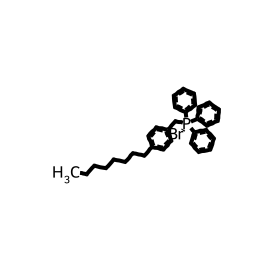 CCCCCCCCc1ccc(CP(Br)(c2ccccc2)(c2ccccc2)c2ccccc2)cc1